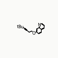 CC(C)(C)C#CCCOc1ccc2cccnc2c1